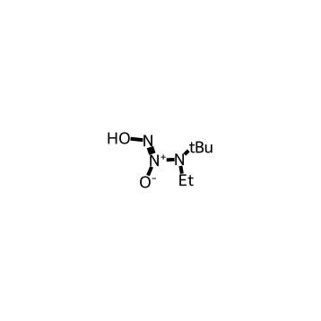 CCN([N+]([O-])=NO)C(C)(C)C